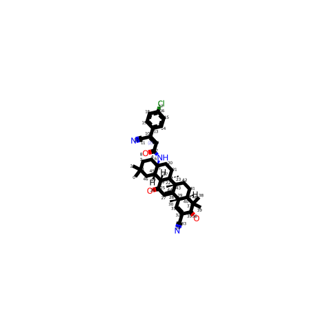 CC1(C)CC[C@]2(NC(=O)/C=C(\C#N)c3ccc(Cl)cc3)CC[C@]3(C)[C@H](C(=O)C=C4[C@@]5(C)C=C(C#N)C(=O)C(C)(C)[C@@H]5CC[C@]43C)[C@@H]2C1